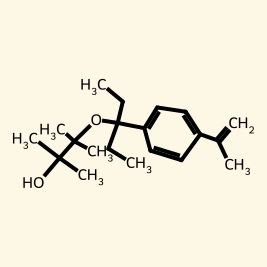 C=C(C)c1ccc(C(CC)(CC)OC(C)(C)C(C)(C)O)cc1